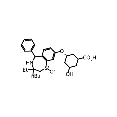 CCCCC1(CC)C[S+]([O-])c2cc(O[C@H]3CC(O)CC(C(=O)O)C3)ccc2C(c2ccccc2)N1